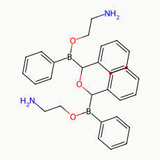 NCCOB(c1ccccc1)C(OC(B(OCCN)c1ccccc1)c1ccccc1)c1ccccc1